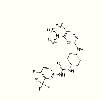 Cc1cnc(N[C@H]2CC[C@@H](NC(=O)Nc3ccc(F)c(C(F)(F)F)c3)CC2)nc1N(C)C